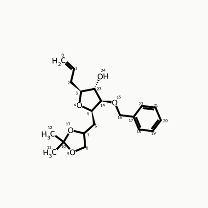 C=CC[C@@H]1O[C@H](CC2COC(C)(C)O2)[C@H](OCc2ccccc2)[C@H]1O